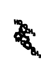 COc1cccc(Sc2c(C)n(CC(=O)O)c3ccnc(Cl)c23)c1